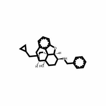 O[C@@]12CC[C@H](NCc3ccccc3)[C@@H]3Oc4cccc5c4[C@@]31CCN(CC1CC1)[C@@H]2C5